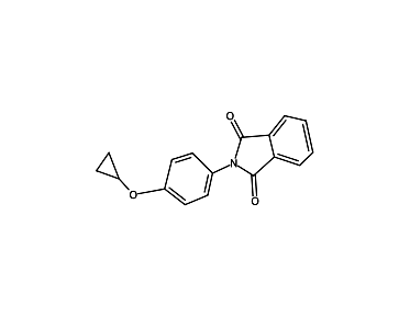 O=C1c2ccccc2C(=O)N1c1ccc(OC2CC2)cc1